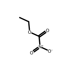 CCOC(=O)[N+](=O)[O-]